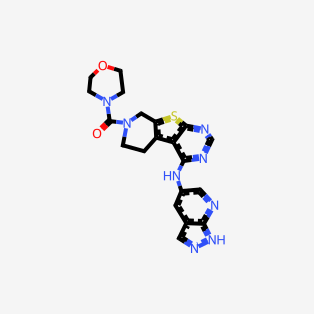 O=C(N1CCOCC1)N1CCc2c(sc3ncnc(Nc4cnc5[nH]ncc5c4)c23)C1